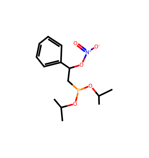 CC(C)OP(CC(O[N+](=O)[O-])c1ccccc1)OC(C)C